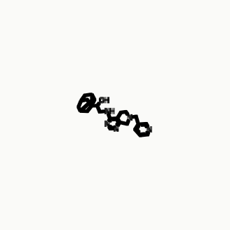 OC(CNc1ncnc2c1CCN(Cc1cccnc1)C2)C12CC3CC(CC(C3)C1)C2